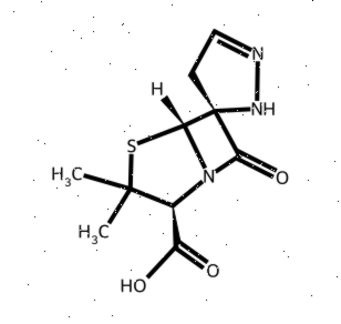 CC1(C)S[C@H]2N(C(=O)[C@]23CC=NN3)[C@H]1C(=O)O